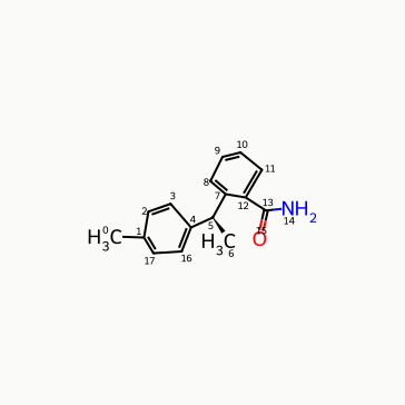 Cc1ccc([C@H](C)c2ccccc2C(N)=O)cc1